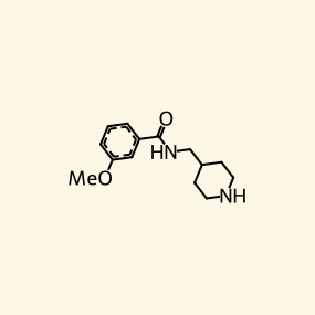 COc1cccc(C(=O)NCC2CCNCC2)c1